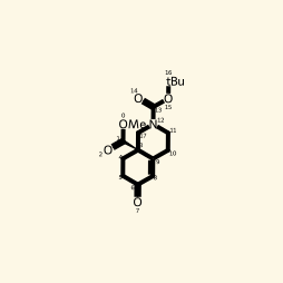 COC(=O)[C@]12CCC(=O)C=C1CCN(C(=O)OC(C)(C)C)C2